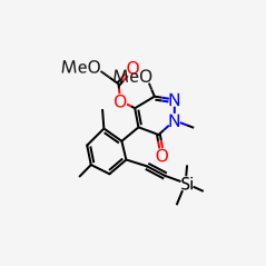 COC(=O)Oc1c(OC)nn(C)c(=O)c1-c1c(C)cc(C)cc1C#C[Si](C)(C)C